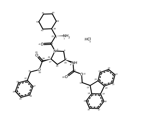 Cl.N[C@H](C(=O)N1C[C@@H](NC(=O)OCC2c3ccccc3-c3ccccc32)C[C@H]1C(=O)OCc1ccccc1)C1CCCCC1